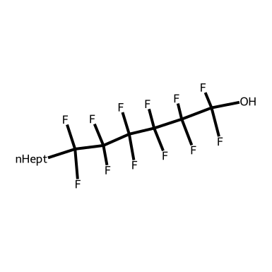 CCCCCCCC(F)(F)C(F)(F)C(F)(F)C(F)(F)C(F)(F)C(O)(F)F